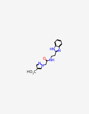 O=C(Cn1cc(C(=O)O)cn1)NCCc1nc2ccccc2[nH]1